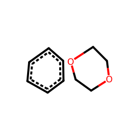 C1COCCO1.c1ccccc1